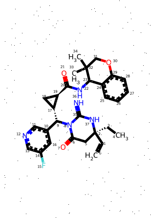 C=C[C@@]1(CC)CC(=O)N(C(c2cncc(F)c2)[C@@H]2C[C@H]2C(=O)NC2c3ccccc3OCC2(C)C)C(=N)N1